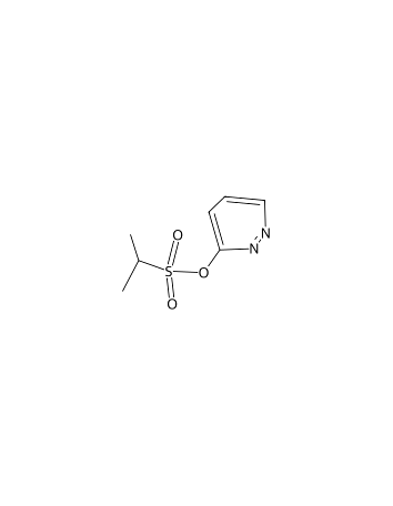 CC(C)S(=O)(=O)Oc1cccnn1